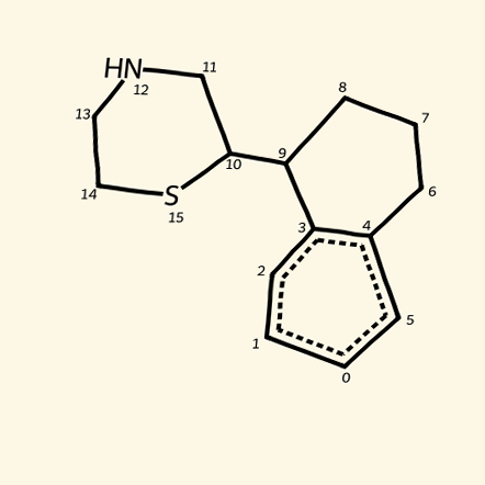 c1ccc2c(c1)CCCC2C1CNCCS1